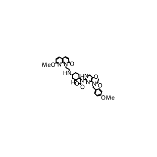 COc1ccc(CN2C(=O)COc3cnc(N4C(=O)O[C@@H]5C[C@H](NCCn6c(=O)ccc7ccc(OC)nc76)CC[C@H]54)nc32)cc1